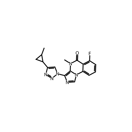 CC1CC1c1cn(-c2ncn3c4cccc(F)c4c(=O)n(C)c23)nn1